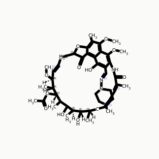 COc1c(C)c2c3c4c(O)c(/C=N/N5CCN(C)CC5)c(c(OC)c14)NC(=O)/C(C)=C\C=C/C[C@H](C)[C@H](O)[C@@H](C)C(O)C(C)[C@H](OC(C)=O)[C@H](C)[C@@H](OC)/C=C/O[C@@](C)(O2)C3=O